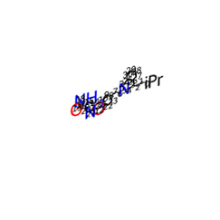 CC(C)CCCCN(CCc1ccc(Oc2ccc(C(N)=O)cn2)cc1)Cc1ccccc1